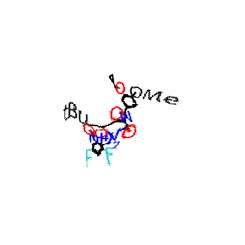 COc1ccc(-c2nc(C(=O)NCc3ccc(F)cc3F)c(C(CCC(C)(C)C)OC(N)=O)o2)cc1OCC1CC1